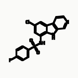 O=S(=O)(Nc1cc(Cl)cc2c1[nH]c1cnccc12)c1ccc(F)cc1